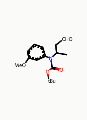 COc1cccc(N(C(=O)OC(C)(C)C)C(C)CC=O)c1